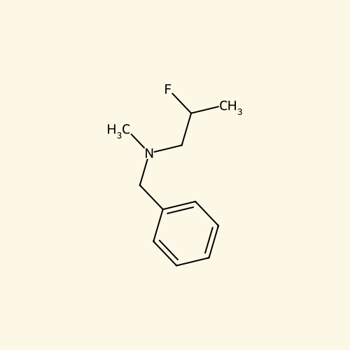 CC(F)CN(C)Cc1ccccc1